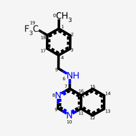 Cc1ccc(CNc2ncnc3ccccc23)cc1C(F)(F)F